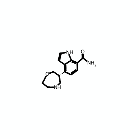 NC(=O)c1ccc([C@@H]2CNCCOC2)c2cc[nH]c12